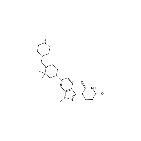 Cn1nc(C2CCC(=O)NC2=O)c2ccc([C@H]3CCN(CC4CCNCC4)C(C)(C)C3)cc21